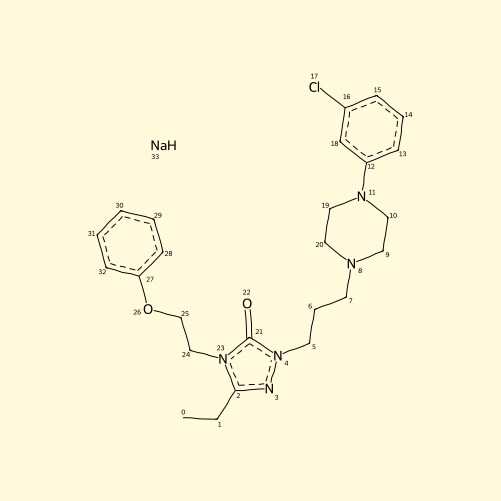 CCc1nn(CCCN2CCN(c3cccc(Cl)c3)CC2)c(=O)n1CCOc1ccccc1.[NaH]